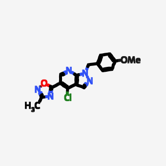 COc1ccc(Cn2ncc3c(Cl)c(-c4nc(C)no4)cnc32)cc1